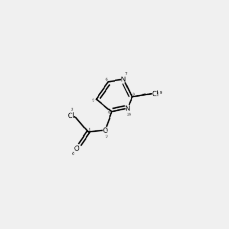 O=C(Cl)Oc1ccnc(Cl)n1